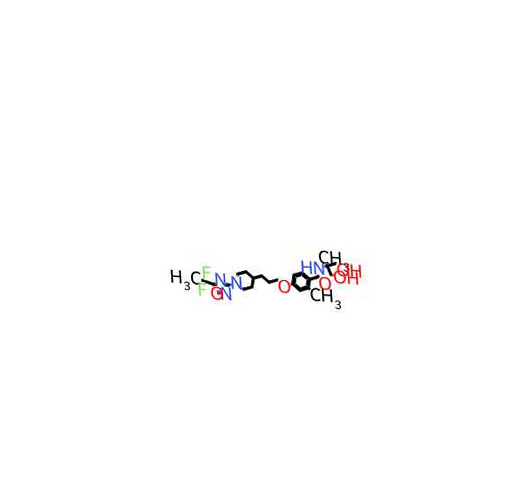 Cc1cc(OCCCC2CCN(c3noc(C(C)(F)F)n3)CC2)ccc1C(=O)NC(C)(CO)CO